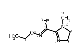 [3H]C(=NOCC)C1=NCCN1C